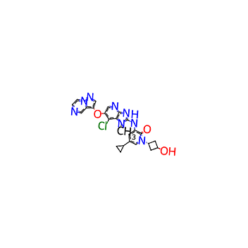 Cn1c(Nc2cc(C3CC3)cn([C@H]3C[C@H](O)C3)c2=O)nc2ncc(Oc3cnn4ccncc34)c(Cl)c21